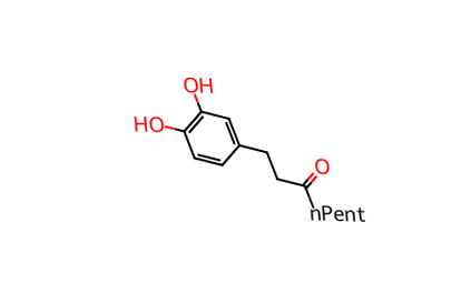 CCCCCC(=O)CCc1ccc(O)c(O)c1